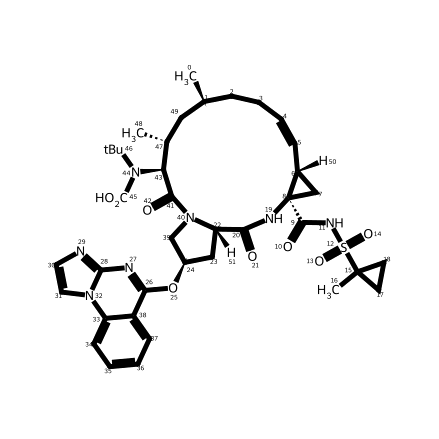 C[C@H]1CCC=C[C@@H]2C[C@@]2(C(=O)NS(=O)(=O)C2(C)CC2)NC(=O)[C@@H]2C[C@@H](Oc3nc4nccn4c4ccccc34)CN2C(=O)[C@@H](N(C(=O)O)C(C)(C)C)[C@H](C)C1